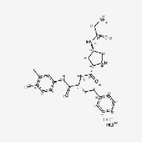 Cc1cc(NC(=O)[C@@H](CCc2ccccc2)NC(=O)[C@@H]2C[C@@H](NC(=O)CN)CN2)ccc1Cl.Cl.Cl